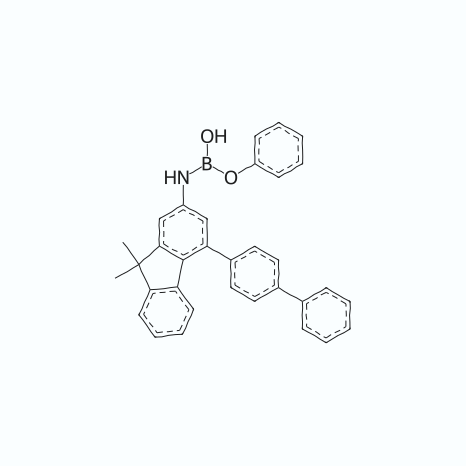 CC1(C)c2ccccc2-c2c(-c3ccc(-c4ccccc4)cc3)cc(NB(O)Oc3ccccc3)cc21